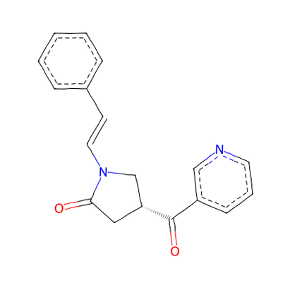 O=C(c1cccnc1)[C@@H]1CC(=O)N(C=Cc2ccccc2)C1